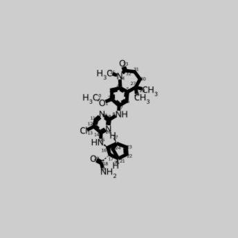 COc1cc2c(cc1Nc1ncc(Cl)c(N[C@H]3[C@@H](C(N)=O)[C@@H]4C=C[C@H]3C4)n1)C(C)(C)CCC(=O)N2C